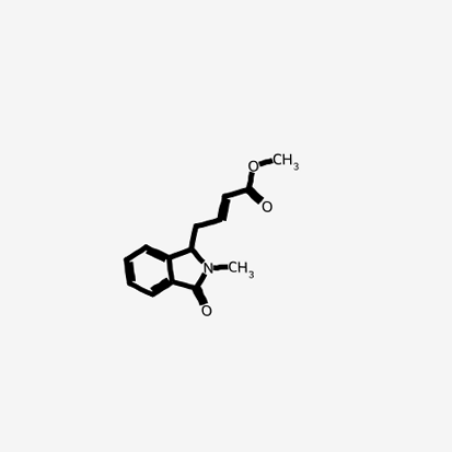 COC(=O)/C=C/CC1c2ccccc2C(=O)N1C